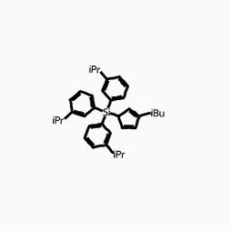 CCC(C)C1=C[C]([Si](c2cccc(C(C)C)c2)(c2cccc(C(C)C)c2)c2cccc(C(C)C)c2)C=C1